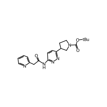 CC(C)(C)OC(=O)N1CCC(c2ccc(NC(=O)Cc3ccccn3)nn2)C1